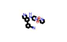 N#Cc1cccc(-c2cc(NC3CCN(S(=O)(=O)c4ccccn4)CC3)c3cnccc3c2)c1